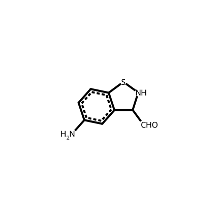 Nc1ccc2c(c1)C(C=O)NS2